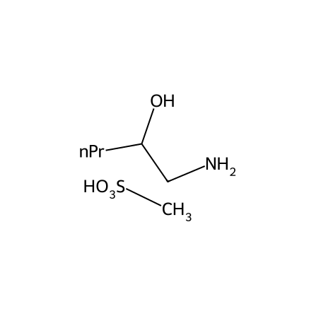 CCCC(O)CN.CS(=O)(=O)O